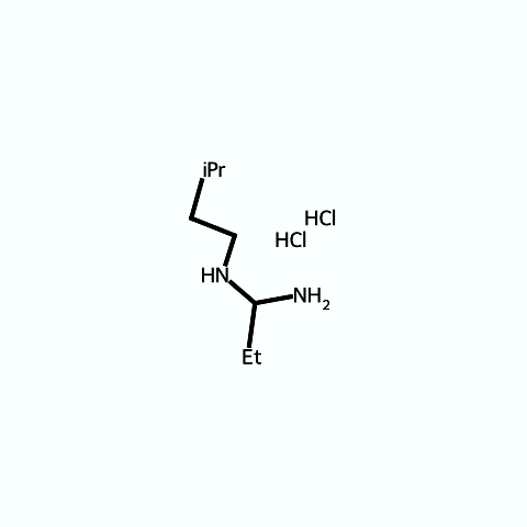 CCC(N)NCCC(C)C.Cl.Cl